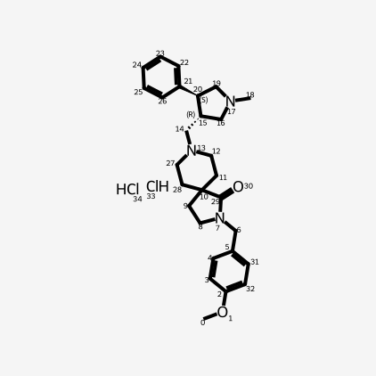 COc1ccc(CN2CCC3(CCN(C[C@H]4CN(C)C[C@@H]4c4ccccc4)CC3)C2=O)cc1.Cl.Cl